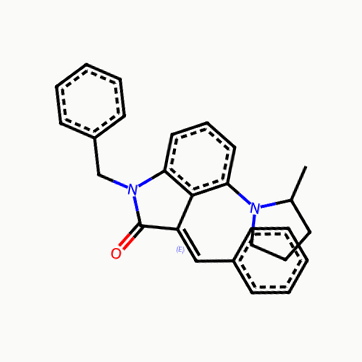 CC1CCCN1c1cccc2c1/C(=C\c1ccccc1)C(=O)N2Cc1ccccc1